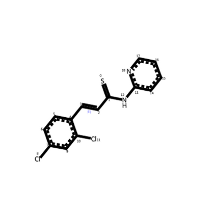 S=C(/C=C/c1ccc(Cl)cc1Cl)Nc1ccccn1